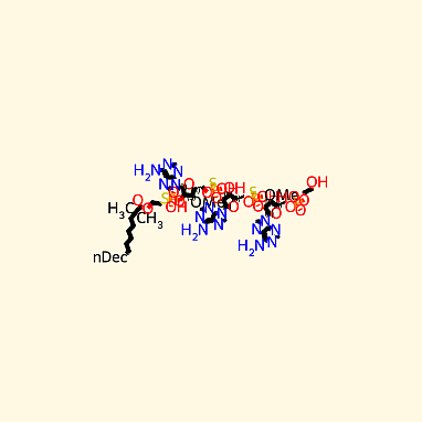 CCCCCCCCCCCCCCCCC(C)(C)C(=O)OCCSP(=O)(O)OC1[C@@H](OC)[C@@H](COP(O)(=S)OC2[C@@H](O)[C@@H](COP(O)(=S)OC3[C@@H](OC)[C@@H](COP(=O)(O)OCCO)O[C@H]3n3cnc4c(N)ncnc43)O[C@H]2n2cnc3c(N)ncnc32)O[C@H]1n1cnc2c(N)ncnc21